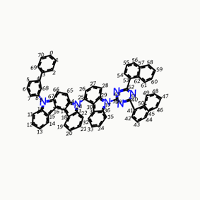 c1ccc(-c2cccc(-n3c4ccccc4c4c5c6ccccc6n(-c6cccc7c6c6ccccc6n7-c6nc(-c7cccc8ccccc78)nc(-c7cccc8ccccc78)n6)c5ccc43)c2)cc1